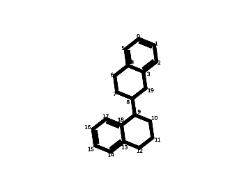 c1ccc2c(c1)CCC(C1CCCc3ccccc31)C2